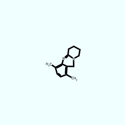 Cc1ccc(C)c2c1CN1CCCCC1=N2